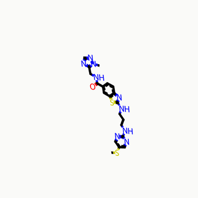 CSc1cnc(NCCCNc2nc3ccc(C(=O)NCc4ncnn4C)cc3s2)nc1